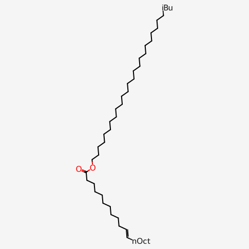 CCCCCCCCC=CCCCCCCCCCC(=O)OCCCCCCCCCCCCCCCCCCCCCCCCC(C)CC